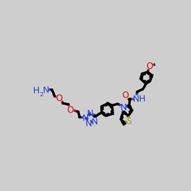 COc1ccc(CCNC(=O)c2cc3sccc3n2Cc2ccc(-c3nnn(CCOCCOCCN)n3)cc2)cc1